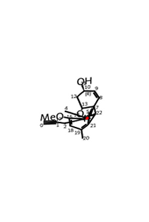 C#CC[N+]1(C)CCC23C=C[C@H](O)CC2Oc2c(OC)cc(C)c(c23)C1